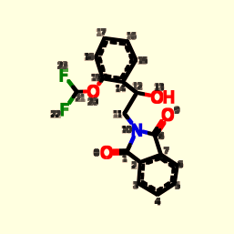 O=C1c2ccccc2C(=O)N1CC(O)c1ccccc1OC(F)F